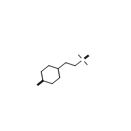 O=C1CCC(CCP(=O)(O)O)CC1